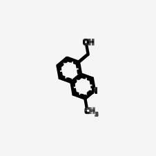 Cc1cc2cccc(CO)c2cn1